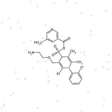 CCC1=C(COCCN)C(S(=O)(=O)OC(=O)c2cncc(C(=O)O)c2)C(C)=C(C)C1c1ccccc1Cl